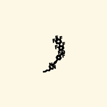 CCCCc1cnc(C#Cc2ccc(C(F)(F)Oc3cc(F)c(-c4cc(F)c(F)c(F)c4)c(F)c3)cc2)nc1